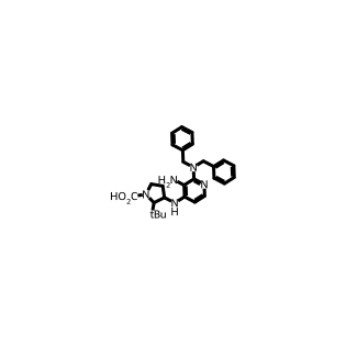 CC(C)(C)C1C(Nc2ccnc(N(Cc3ccccc3)Cc3ccccc3)c2N)CCN1C(=O)O